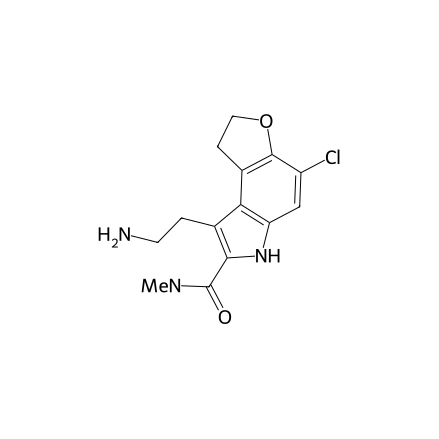 CNC(=O)c1[nH]c2cc(Cl)c3c(c2c1CCN)CCO3